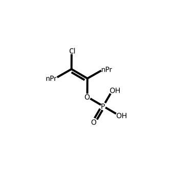 CCCC(Cl)=C(CCC)OP(=O)(O)O